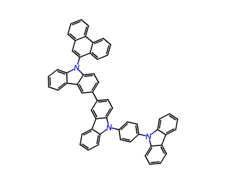 c1ccc2c(c1)cc(-n1c3ccccc3c3cc(-c4ccc5c(c4)c4ccccc4n5-c4ccc(-n5c6ccccc6c6ccccc65)cc4)ccc31)c1ccccc12